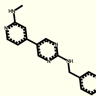 CNc1cc(-c2cnc(NCc3ccccc3)nc2)ccn1